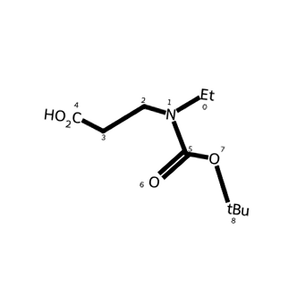 CCN(CCC(=O)O)C(=O)OC(C)(C)C